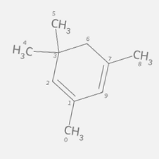 CC1=CC(C)(C)CC(C)=C1